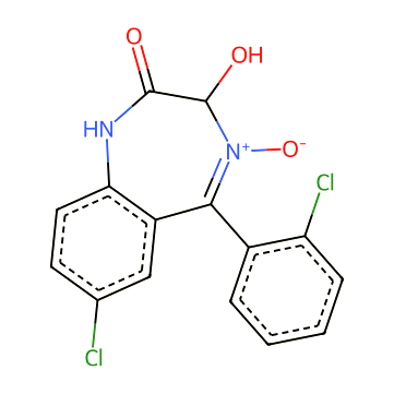 O=C1Nc2ccc(Cl)cc2C(c2ccccc2Cl)=[N+]([O-])C1O